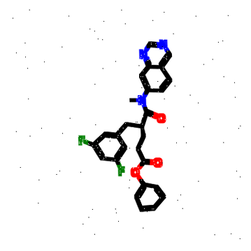 CN(C(=O)[C@@H](CCC(=O)Oc1ccccc1)Cc1cc(F)cc(F)c1)c1ccc2cncnc2c1